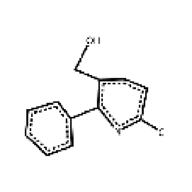 OCc1ccc(Cl)nc1-c1ccccc1